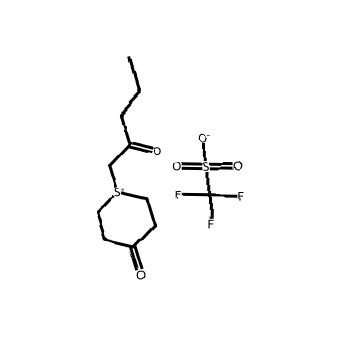 CCCC(=O)C[S+]1CCC(=O)CC1.O=S(=O)([O-])C(F)(F)F